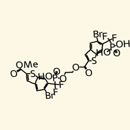 COC(=O)c1cc2cc(Br)c(C(F)(F)P(=O)(O)OCCOC(=O)c3cc4cc(Br)c(C(F)(F)P(=O)(O)O)cc4s3)cc2s1